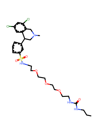 CCCNC(=O)NCCOCCOCCOCCNS(=O)(=O)c1cccc(C2CN(C)Cc3c(Cl)cc(Cl)cc32)c1